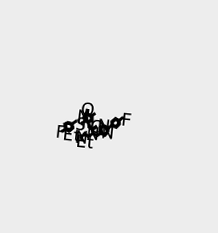 CCN(CC)CCN(Cc1cnc(-c2ccc(CF)cc2)nc1)C(=O)Cn1cc(C)c(=O)nc1SCc1ccc(F)cc1